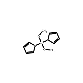 CO[Si](OC)(n1cccc1)n1cccc1